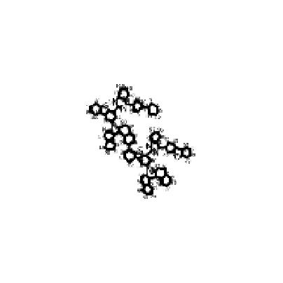 c1ccc(-c2ccc(-c3nc(-c4cc(-n5c6ccc7ccccc7c6c6c7cc(-c8cccc9c8sc8c(-c%10nc(-c%11ccc%12c(c%11)oc%11ccccc%11%12)c%11ccccc%11n%10)cc(-n%10c%11ccc%12ccccc%12c%11c%11c%12ccccc%12ccc%11%10)cc89)ccc7ccc65)cc5c4sc4ccccc45)nc4ccccc34)cc2)cc1